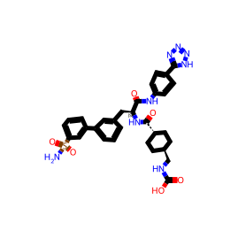 NS(=O)(=O)c1cccc(-c2cccc(C[C@H](NC(=O)[C@H]3CC[C@H](CNC(=O)O)CC3)C(=O)Nc3ccc(-c4nnn[nH]4)cc3)c2)c1